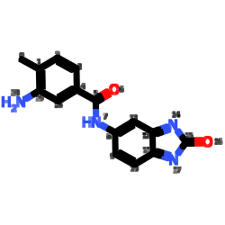 Cc1ccc(C(=O)Nc2ccc3c(c2)=NC(=O)N=3)cc1N